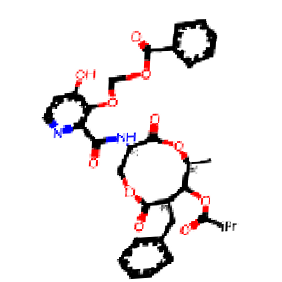 CC(C)C(=O)OC1[C@H](C)OC(=O)[C@@H](NC(=O)c2nccc(O)c2OCOC(=O)c2ccccc2)COC(=O)[C@@H]1Cc1ccccc1